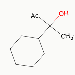 [CH2]C(O)(C(C)=O)C1CCCCC1